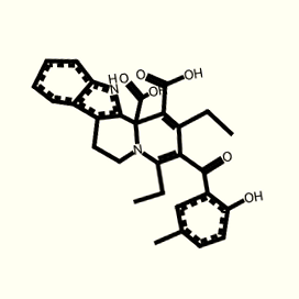 CCC1=C(C(=O)O)C2(C(=O)O)c3[nH]c4ccccc4c3CCN2C(CC)=C1C(=O)c1cc(C)ccc1O